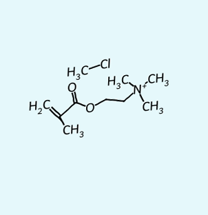 C=C(C)C(=O)OCC[N+](C)(C)C.CCl